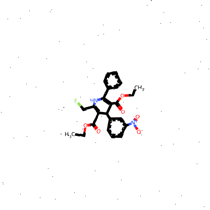 CCOC(=O)C1=C(CF)NC(c2ccccc2)=C(C(=O)OCC)C1c1cccc([N+](=O)[O-])c1